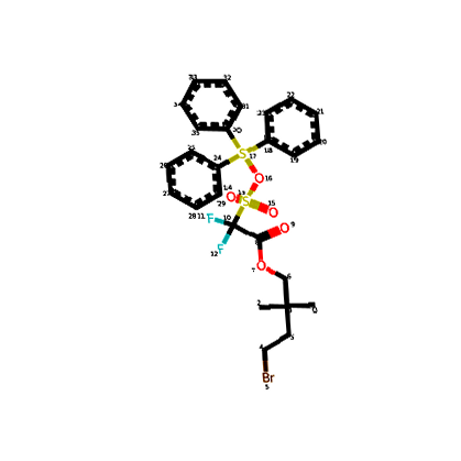 CC(C)(CCBr)COC(=O)C(F)(F)S(=O)(=O)OS(c1ccccc1)(c1ccccc1)c1ccccc1